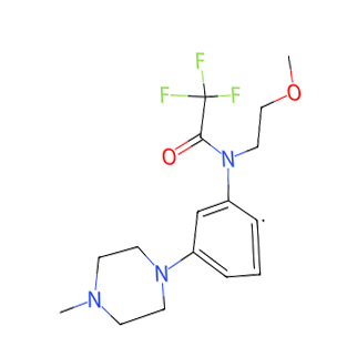 COCCN(C(=O)C(F)(F)F)c1[c]ccc(N2CCN(C)CC2)c1